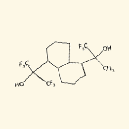 CC(O)(C1CCCC2C1CCCC2C(O)(C(F)(F)F)C(F)(F)F)C(F)(F)F